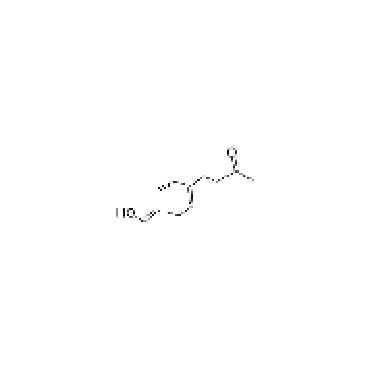 CC(=O)CCC1=CCC(=CO)C=C1